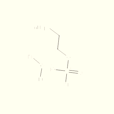 CCCCCCCCCOP(=O)(O)O.CCOCC